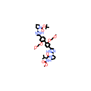 COCCOc1cc(-c2cnc([C@@H]3CCCN3C(=O)OC(C)(C)C)[nH]2)ccc1-c1ccc(-c2cnc([C@@H]3CCCN3C(=O)[C@@H](NC(=O)OC)C(C)C)[nH]2)cc1OCCOC